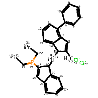 CC1=Cc2c(-c3ccccc3)cccc2[CH]1[Hf+2][CH]1C(P(CC(C)C)CC(C)C)=Cc2ccccc21.[Cl-].[Cl-]